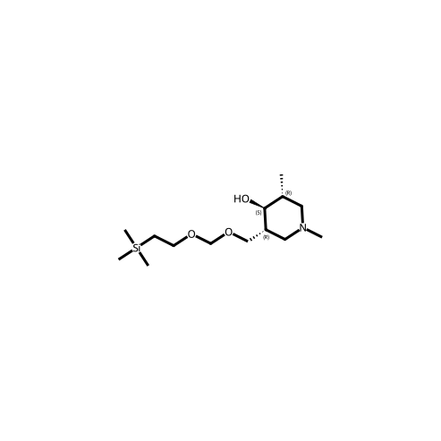 C[C@@H]1CN(C)C[C@H](COCOCC[Si](C)(C)C)[C@H]1O